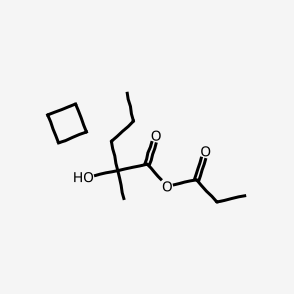 C1CCC1.CCCC(C)(O)C(=O)OC(=O)CC